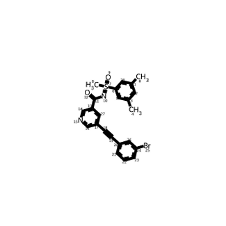 Cc1cc(C)cc(S(C)(=O)=NC(=O)c2cncc(C#Cc3cccc(Br)c3)c2)c1